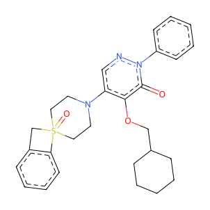 O=c1c(OCC2CCCCC2)c(N2CCS3(=O)(CC2)Cc2ccccc23)cnn1-c1ccccc1